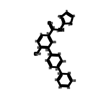 O=C(Nc1n[c]cs1)c1ccc(Cl)c(-c2ccc(-c3ccccc3)cc2)c1